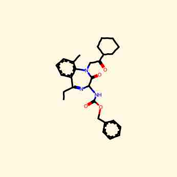 CCC1=NC(NC(=O)OCc2ccccc2)C(=O)N(CC(=O)C2CCCCC2)c2c(C)cccc21